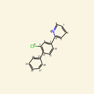 Clc1cc(-c2ccccn2)ccc1-c1ccccc1